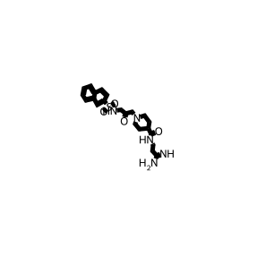 N=C(N)CCNC(=O)C1CCN(CC(=O)CNS(=O)(=O)c2ccc3ccccc3c2)CC1